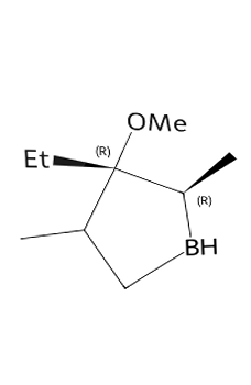 CC[C@]1(OC)C(C)CB[C@@H]1C